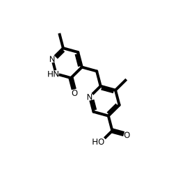 Cc1cc(Cc2ncc(C(=O)O)cc2C)c(=O)[nH]n1